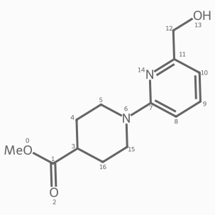 COC(=O)C1CCN(c2cccc(CO)n2)CC1